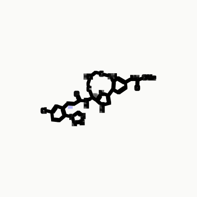 COC(=O)Nc1ccc2c(c1)NCCNCC[C@H](NC(=O)/C=C/c1cc(Cl)ccc1-n1cnnn1)c1nc-2c[nH]1